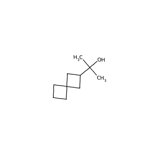 CC(C)(O)C1CC2(CCC2)C1